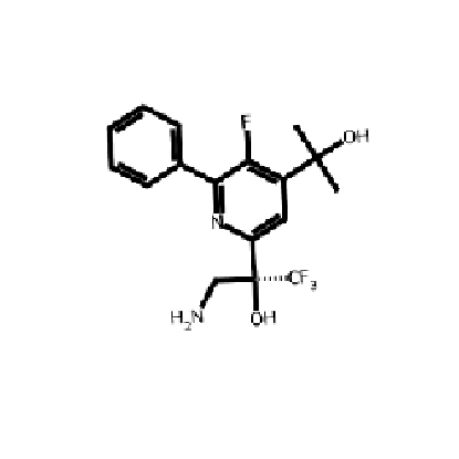 CC(C)(O)c1cc([C@@](O)(CN)C(F)(F)F)nc(-c2ccccc2)c1F